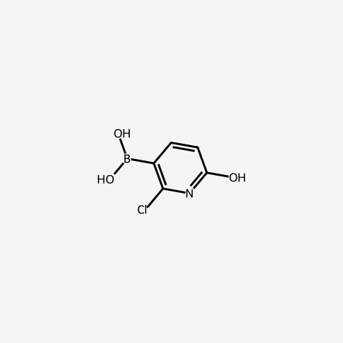 OB(O)c1ccc(O)nc1Cl